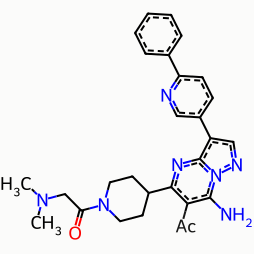 CC(=O)c1c(C2CCN(C(=O)CN(C)C)CC2)nc2c(-c3ccc(-c4ccccc4)nc3)cnn2c1N